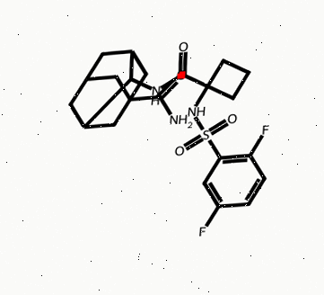 NC(=O)C12CC3CC(C1)C(NC(=O)C1(NS(=O)(=O)c4cc(F)ccc4F)CCC1)C(C3)C2